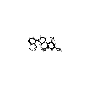 COCc1ccccc1N1CCN(c2c(C)cc(C)cc2C)C1=[N][Hf]